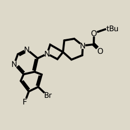 CC(C)(C)OC(=O)N1CCC2(CC1)CN(c1ncnc3cc(F)c(Br)cc13)C2